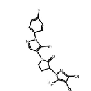 Cc1c(Cl)c(C#N)nn1C1CCN(c2cnn(-c3ccc(F)cc3)c2C(C)C)C1=O